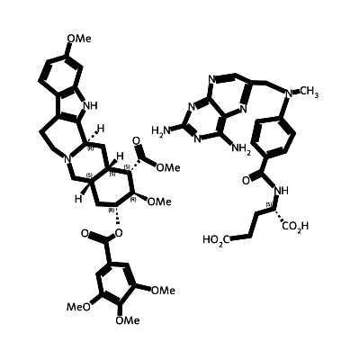 CN(Cc1cnc2nc(N)nc(N)c2n1)c1ccc(C(=O)N[C@@H](CCC(=O)O)C(=O)O)cc1.COC(=O)[C@H]1[C@H]2C[C@@H]3c4[nH]c5cc(OC)ccc5c4CCN3C[C@H]2C[C@@H](OC(=O)c2cc(OC)c(OC)c(OC)c2)[C@@H]1OC